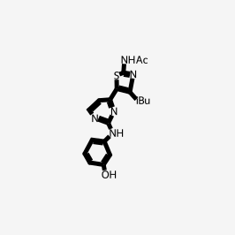 CCC(C)c1nc(NC(C)=O)sc1-c1ccnc(Nc2cccc(O)c2)n1